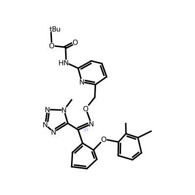 Cc1cccc(Oc2ccccc2/C(=N/OCc2cccc(NC(=O)OC(C)(C)C)n2)c2nnnn2C)c1C